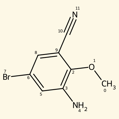 COc1c(N)cc(Br)cc1C#N